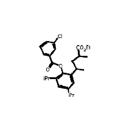 CCOC(=O)C(C)CC(C)c1cc(C(C)C)cc(C(C)C)c1OC(=O)c1cccc(Cl)c1